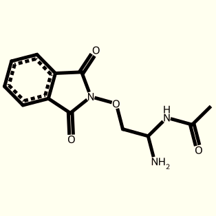 CC(=O)NC(N)CON1C(=O)c2ccccc2C1=O